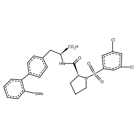 CSc1ccccc1-c1ccc(C[C@H](NC(=O)[C@@H]2CCCN2S(=O)(=O)c2cc(Cl)cc(Cl)c2)C(=O)O)cc1